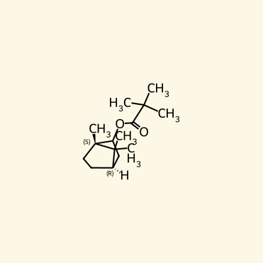 CC(C)(C)C(=O)OC1C[C@H]2CC[C@@]1(C)C2(C)C